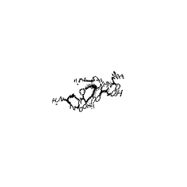 CNCC(=O)N[C@@H](CO)C(=O)N[C@H]1[C@H](O)[C@@H](O)C(n2ccc(N)nc2=O)O[C@@H]1C(N)=O